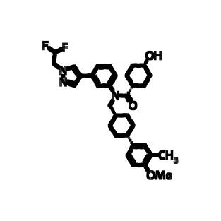 COc1ccc([C@H]2CC[C@H](CN(c3cccc(-c4cnn(CC(F)F)c4)c3)C(=O)[C@H]3CC[C@H](O)CC3)CC2)cc1C